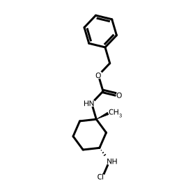 C[C@]1(NC(=O)OCc2ccccc2)CCC[C@@H](NCl)C1